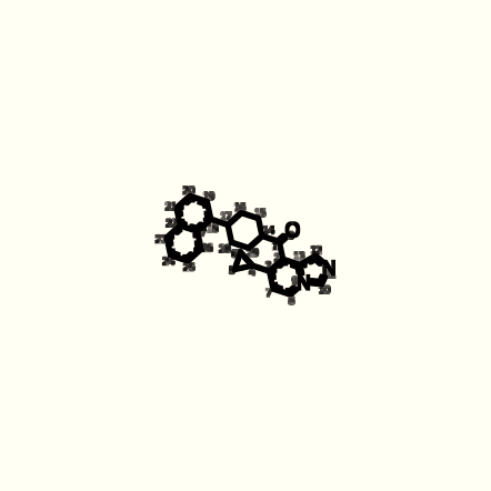 O=C(c1c(C2CC2)ccn2cncc12)C1CCC(c2cccc3ccccc23)CC1